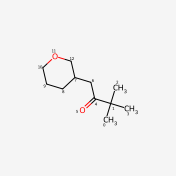 CC(C)(C)C(=O)CC1CCCOC1